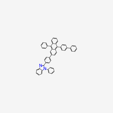 c1ccc(-c2ccc(-c3c4ccccc4c(-c4ccccc4)c4cc(-c5ccc(-c6nc7ccccc7n6-c6ccccc6)cc5)ccc34)cc2)cc1